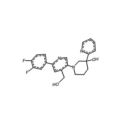 OCc1cc(-c2ccc(F)c(F)c2)ncc1N1CCCC(O)(c2ccccn2)C1